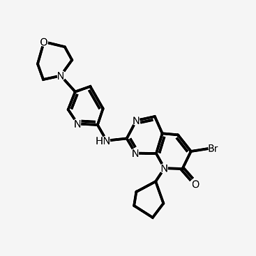 O=c1c(Br)cc2cnc(Nc3ccc(N4CCOCC4)cn3)nc2n1C1CCCC1